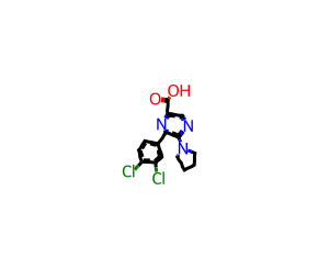 O=C(O)c1cnc(N2CCCC2)c(-c2ccc(Cl)c(Cl)c2)n1